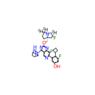 [2H]C1([2H])CC[C@]2(COc3nc(N4CC5CCC4CN5)c4cnc(-c5cc(O)cc(F)c5C5CCC5)c(F)c4n3)C[C@]([2H])(F)CN12